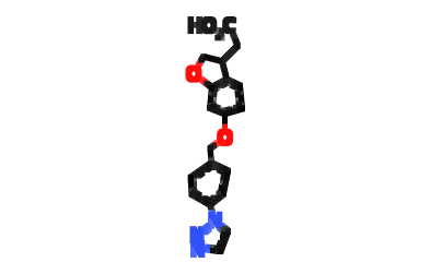 O=C(O)CC1COc2cc(OCc3ccc(-n4ccnn4)cc3)ccc21